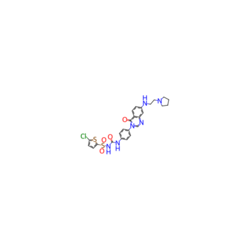 O=C(Nc1ccc(-n2cnc3cc(NCCN4CCCC4)ccc3c2=O)cc1)NS(=O)(=O)c1ccc(Cl)s1